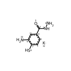 NNC(=O)c1ccc(S)c(N)c1.[K]